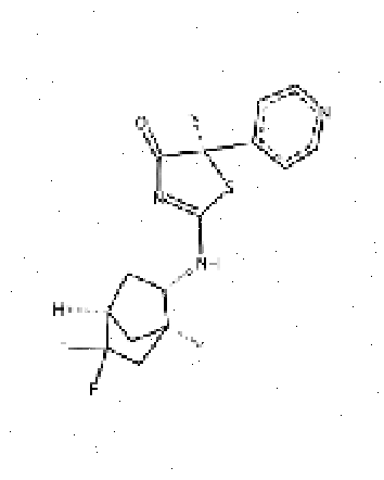 C[C@]12C[C@H](C[C@@H]1NC1=NC(=O)[C@@](C)(c3ccncc3)S1)C(F)(F)C2